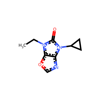 CCn1c(=O)n(C2CC2)c2ncoc21